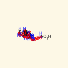 CC(C)[C@H](NC(=O)[C@@H](CCCCNC(=O)COC1CCCCCc2c1nnn2CCOCCOCCOCCOCCC(=O)NCCS(=O)(=O)O)NC(=O)CCOCCOCCOCCOCCNC(=O)CCC(=O)N1Cc2ccccc2C#Cc2ccccc21)C(=O)N[C@@H](CCCNC(N)=O)C(=O)Nc1ccc2c(c1)[C@@]1(C)CCC[C@](C)(C(=O)NC(=O)[C@@]3(C)CCC[C@]4(C)c5cc(N)ccc5CC[C@@H]34)[C@@H]1CC2